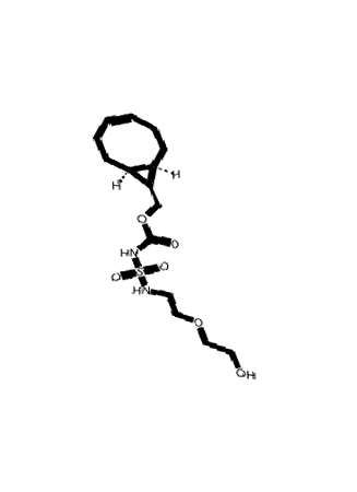 O=C(NS(=O)(=O)NCCOCCO)OC[C@@H]1[C@@H]2CC/C=C\CC[C@@H]21